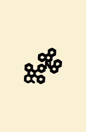 CC1CC=Cc2c1c(-c1ccccc1)c(-c1ccc(N(c3cccc4ccccc34)c3cc4ccccc4c4ccccc34)cc1)c1ccccc21